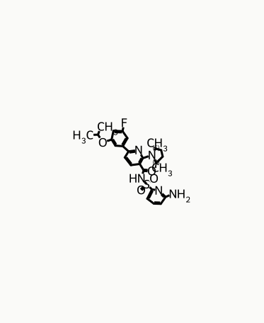 CC(C)Oc1cc(F)cc(-c2ccc(C(=O)NS(=O)(=O)c3cccc(N)n3)c(N3[C@H](C)CC[C@@H]3C)n2)c1